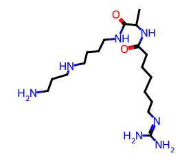 CC(NC(=O)CCCCCCN=C(N)N)C(=O)NCCCCNCCCN